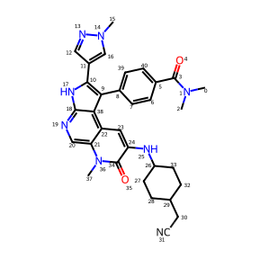 CN(C)C(=O)c1ccc(-c2c(-c3cnn(C)c3)[nH]c3ncc4c(cc(NC5CCC(CC#N)CC5)c(=O)n4C)c23)cc1